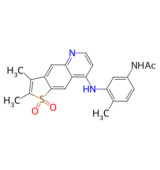 CC(=O)Nc1ccc(C)c(Nc2ccnc3cc4c(cc23)S(=O)(=O)C(C)=C4C)c1